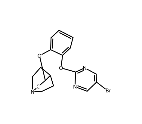 Brc1cnc(Oc2ccccc2OC2CN3CCC2CC3)nc1